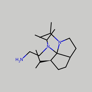 CC(C)[C@@H]1CCC2CCN(C(C)C)C21N(CCN)C(C)C